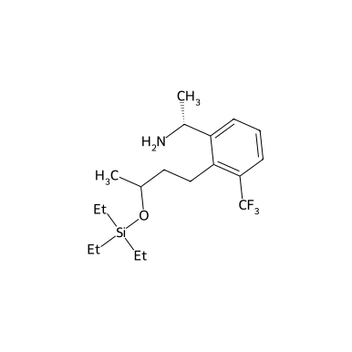 CC[Si](CC)(CC)OC(C)CCc1c([C@@H](C)N)cccc1C(F)(F)F